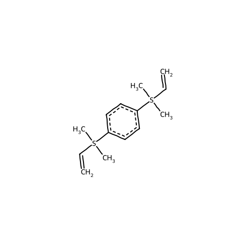 C=CS(C)(C)c1ccc(S(C)(C)C=C)cc1